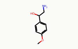 COc1ccc(C(O)CN)cc1